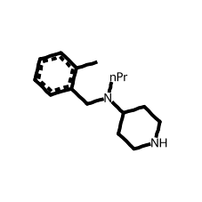 CCCN(Cc1ccccc1C)C1CCNCC1